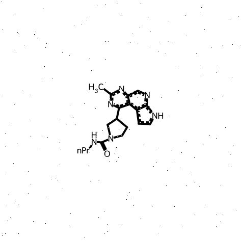 CCCNC(=O)N1CCC(c2nc(C)nc3cnc4[nH]ccc4c23)C1